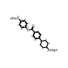 CCCCCCCC1CCC(c2ccc(C(=O)Oc3ccc(CCCCC)cc3)cc2)CC1